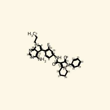 CCCn1cc(-c2ccc(NC(=O)c3c4n(n(-c5ccccc5)c3=O)CCCC4)cc2F)c2c(N)ncnc21